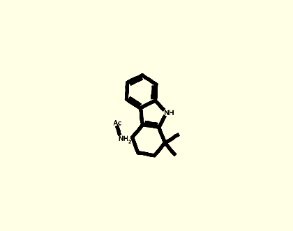 CC(N)=O.CC1(C)CCCc2c1[nH]c1ccccc21